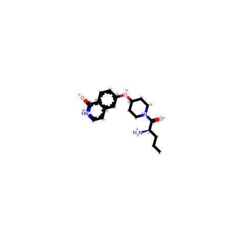 CCC[C@@H](N)C(=O)N1CCC(Oc2ccc3c(=O)[nH]ccc3c2)CC1